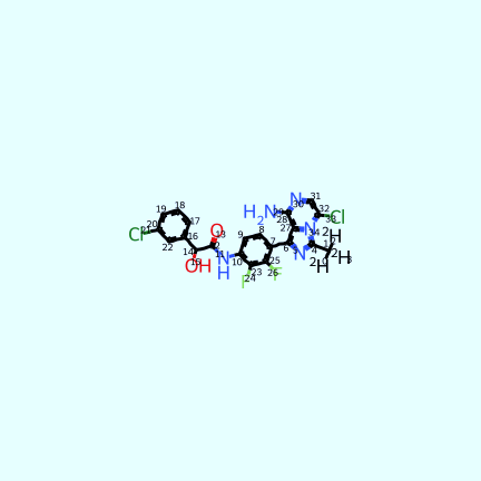 [2H]C([2H])([2H])c1nc(-c2ccc(NC(=O)C(O)c3cccc(Cl)c3)c(F)c2F)c2c(N)ncc(Cl)n12